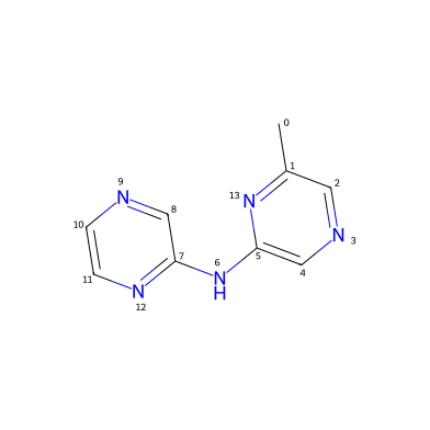 Cc1cncc(Nc2cnccn2)n1